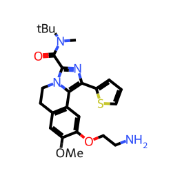 COc1cc2c(cc1OCCN)-c1c(-c3cccs3)nc(C(=O)N(C)C(C)(C)C)n1CC2